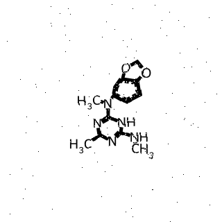 CNC1=NC(C)N=C(N(C)c2ccc3c(c2)OCO3)N1